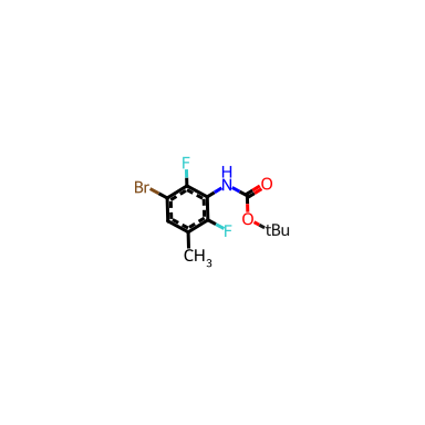 Cc1cc(Br)c(F)c(NC(=O)OC(C)(C)C)c1F